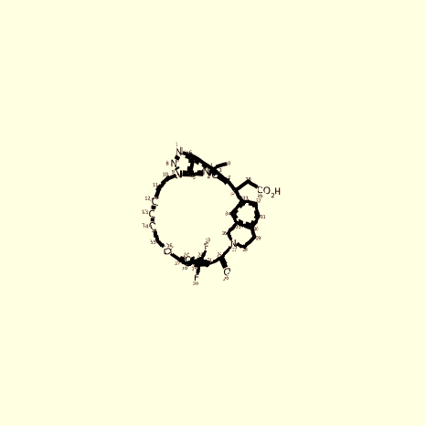 Cc1c2cnc3c1nnn3CCCCCCOc1cc(F)c(c(F)c1)C(=O)N1CCc3ccc(cc3C1)C2CC(=O)O